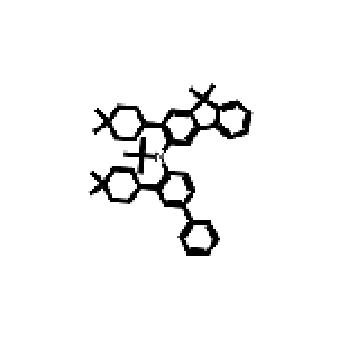 CC1(C)CCC(c2cc(-c3ccccc3)ccc2N(c2cc3c(cc2C2CCC(C)(C)CC2)C(C)(C)c2ccccc2-3)C(C)(C)C)CC1